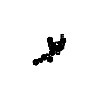 CCSc1cc(F)ccc1CN1CCN(C(=O)[C@H](NC(=O)OCc2ccccc2)C2CCN(CCc3ccc(OCc4ccccc4)cc3-c3ccccc3)CC2)CC1